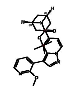 COc1ncccc1-c1cnn2ccc(N3C[C@H]4C[C@@H](C3)N4C(=O)OC(C)(C)C)nc12